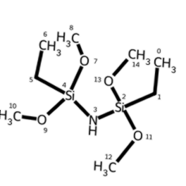 CC[Si](N[Si](CC)(OC)OC)(OC)OC